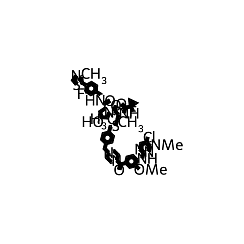 CNc1nc(Nc2ccc(C(=O)N3CCN(Cc4ccc(CSC(C)(C)C(NC(=O)C5(F)CC5)C(=O)N5C[C@H](O)C[C@H]5C(=O)NCc5ccc(-c6scnc6C)c(F)c5)cc4)CC3)cc2OC)ncc1Cl